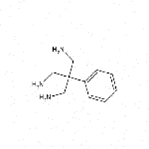 NCC(CN)(CN)c1ccccc1